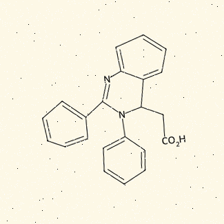 O=C(O)CC1c2ccccc2N=C(c2ccccc2)N1c1ccccc1